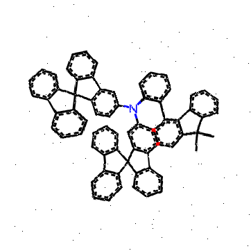 CC1(C)c2ccccc2-c2c(-c3ccccc3N(c3ccc4c(c3)-c3ccccc3C43c4ccccc4-c4ccccc43)c3ccc4c(c3)C3(c5ccccc5-c5ccccc53)c3ccccc3-4)cccc21